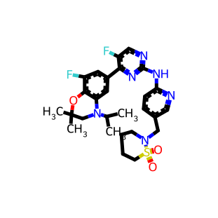 CC(C)N1CC(C)(C)Oc2c(F)cc(-c3nc(Nc4ccc(CN5CCCCS5(=O)=O)cn4)ncc3F)cc21